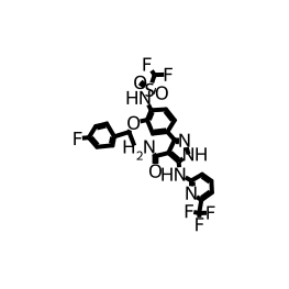 CC(Oc1cc(-c2n[nH]c(Nc3cccc(C(F)(F)F)n3)c2C(N)=O)ccc1NS(=O)(=O)C(F)F)c1ccc(F)cc1